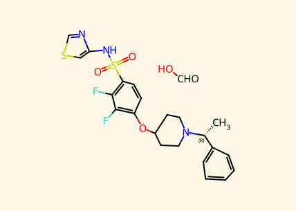 C[C@H](c1ccccc1)N1CCC(Oc2ccc(S(=O)(=O)Nc3cscn3)c(F)c2F)CC1.O=CO